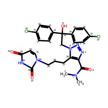 CN(C)C(=O)c1nnn(CC(O)(c2ccc(Cl)cc2)c2ccc(Cl)cc2)c1CCCn1ccc(=O)[nH]c1=O